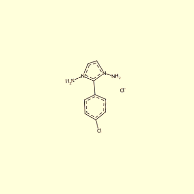 Nn1cc[n+](N)c1-c1ccc(Cl)cc1.[Cl-]